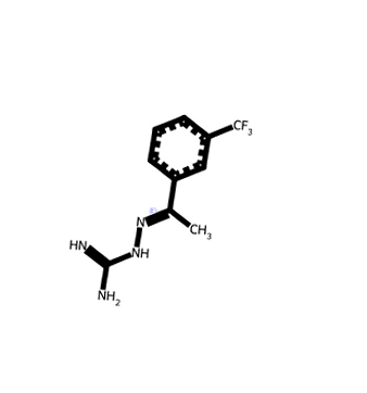 C/C(=N\NC(=N)N)c1cccc(C(F)(F)F)c1